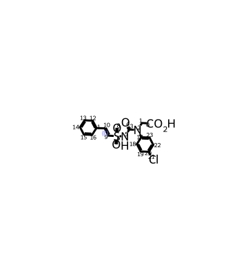 O=C(O)CN(C(=O)NS(=O)(=O)/C=C/c1ccccc1)c1ccc(Cl)cc1